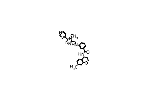 Cc1ccc2c(c1)OCC[C@H]2NC(=O)c1cccc(NCc2nnc(-c3ccncn3)n2C)c1